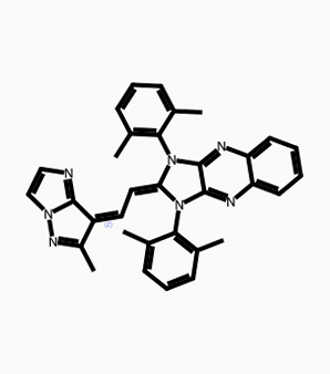 Cc1cccc(C)c1N1C(=C/C=c2/c(C)nn3ccnc23)N(c2c(C)cccc2C)c2nc3ccccc3nc21